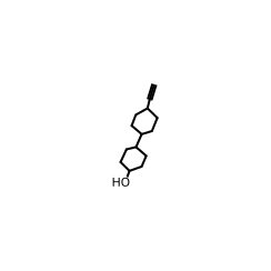 C#CC1CCC(C2CCC(O)CC2)CC1